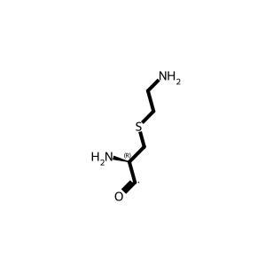 NCCSC[C@H](N)[C]=O